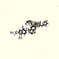 COc1cc2c(Oc3ccc4[nH]c(C)cc4c3F)ncnc2cc1OCCCN1CCCC1.O=C(O)/C=C\C(=O)O